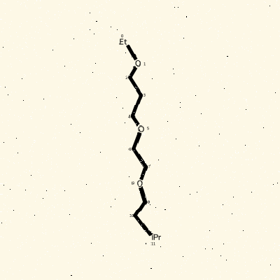 CCOCCCOCCOCCC(C)C